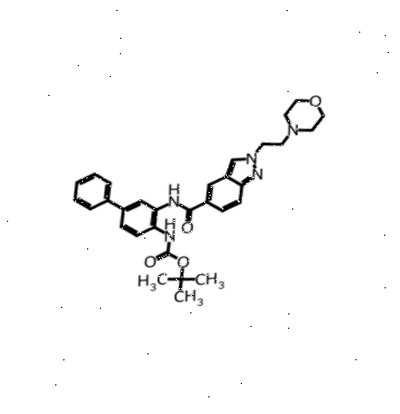 CC(C)(C)OC(=O)Nc1ccc(-c2ccccc2)cc1NC(=O)c1ccc2nn(CCN3CCOCC3)cc2c1